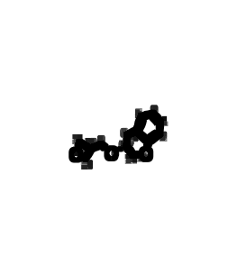 c1ccc2c(c1)C[C@@H](OCC1COC1)CO2